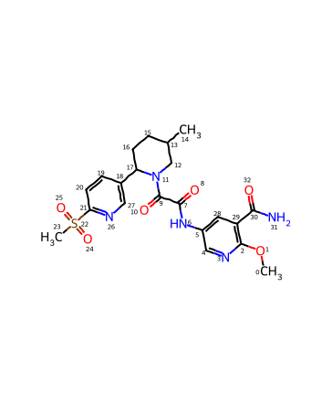 COc1ncc(NC(=O)C(=O)N2CC(C)CCC2c2ccc(S(C)(=O)=O)nc2)cc1C(N)=O